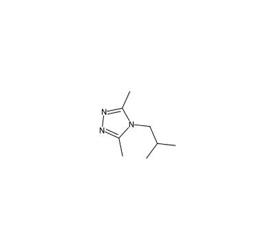 Cc1nnc(C)n1CC(C)C